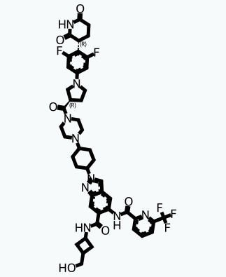 O=C1CC[C@H](c2c(F)cc(N3CC[C@@H](C(=O)N4CCN(C5CCC(n6cc7cc(NC(=O)c8cccc(C(F)(F)F)n8)c(C(=O)NC8CC(CO)C8)cc7n6)CC5)CC4)C3)cc2F)C(=O)N1